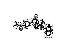 CC(C)(C)OC(=O)N1CCC(c2cc(=O)[nH]c3c(C(=O)NC(=N)c4ccccc4F)cnn23)CC1